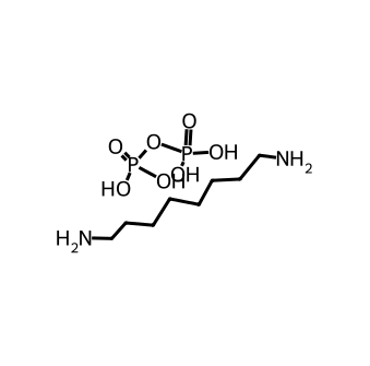 NCCCCCCCCN.O=P(O)(O)OP(=O)(O)O